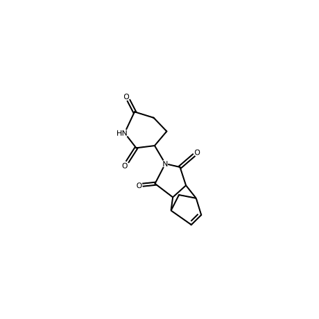 O=C1CCC(N2C(=O)C3C4C=CC(C4)C3C2=O)C(=O)N1